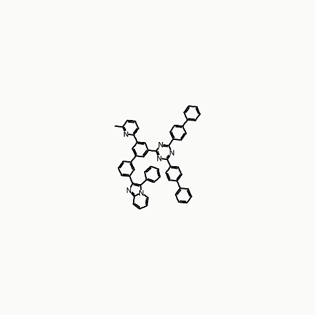 Cc1cccc(-c2cc(-c3cccc(-c4nc5ccccn5c4-c4ccccc4)c3)cc(-c3nc(-c4ccc(-c5ccccc5)cc4)nc(-c4ccc(-c5ccccc5)cc4)n3)c2)n1